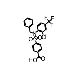 O=C(O)c1ccc(S(=O)(=O)N(Cc2ccccc2)c2ccc(C(F)(F)F)cc2Cl)cc1